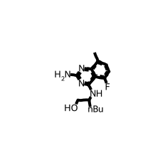 CCCCC(CO)Nc1nc(N)nc2c(C)ccc(F)c12